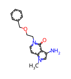 Cn1cc(N)c2c(=O)n(CCOCc3ccccc3)ccc21